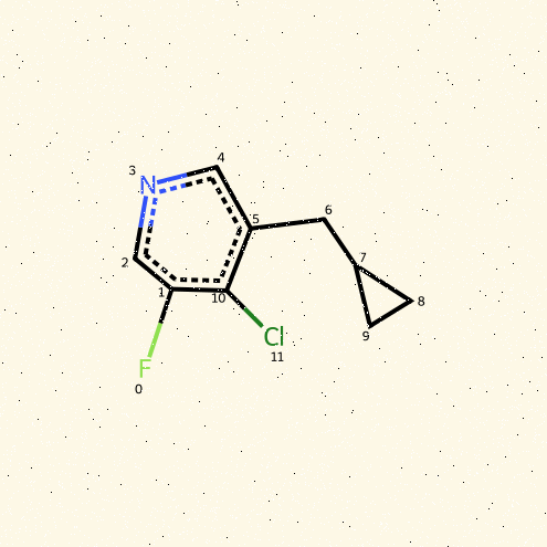 Fc1cncc(CC2CC2)c1Cl